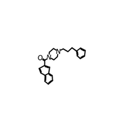 O=C(c1ccc2ccccc2c1)N1CCN(CCCc2ccccc2)CC1